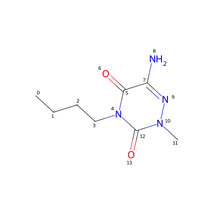 CCCCn1c(=O)c(N)nn(C)c1=O